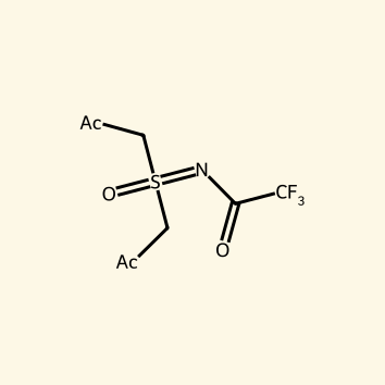 CC(=O)CS(=O)(CC(C)=O)=NC(=O)C(F)(F)F